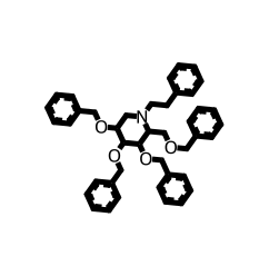 c1ccc(CCN2CC(OCc3ccccc3)C(OCc3ccccc3)C(OCc3ccccc3)C2COCc2ccccc2)cc1